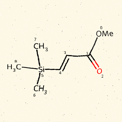 COC(=O)C=C[Si](C)(C)C